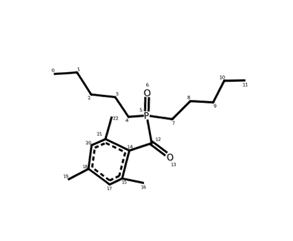 CCCCCP(=O)(CCCCC)C(=O)c1c(C)cc(C)cc1C